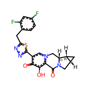 O=C1c2c(O)c(=O)c(-c3nnc(Cc4ccc(F)cc4F)s3)cn2C[C@@H]2[C@@H]3C[C@@H]3CN12